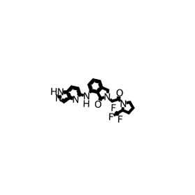 O=C1c2c(cccc2Nc2ccc3[nH]ncc3n2)CN1CC(=O)N1CCCC1C(F)(F)F